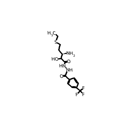 CCSCC[C@@H](N)C(O)C(=O)NNC(=O)c1ccc(C(F)(F)F)cc1